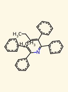 CC/C(C)=C(/C(=N\C(=C(/C)c1ccccc1)c1ccccc1)c1ccccc1)c1ccccc1